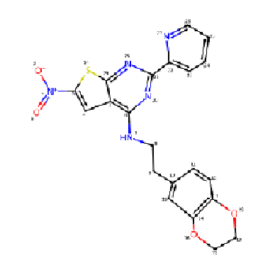 O=[N+]([O-])c1cc2c(NCCc3ccc4c(c3)OCCO4)nc(-c3ccccn3)nc2s1